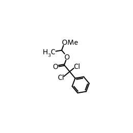 COC(C)OC(=O)C(Cl)(Cl)c1ccccc1